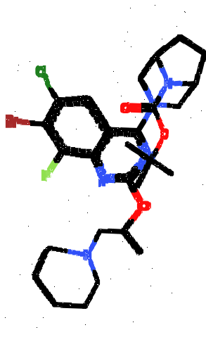 CC(CN1CCCCC1)Oc1nc(N2CC3CCC(C2)N3C(=O)OC(C)(C)C)c2cc(Cl)c(Br)c(F)c2n1